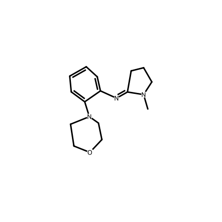 CN1CCCC1=Nc1ccccc1N1CCOCC1